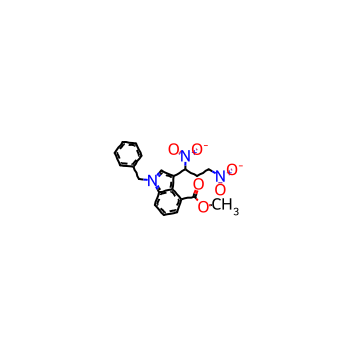 COC(=O)c1cccc2c1c(C(CC[N+](=O)[O-])[N+](=O)[O-])cn2Cc1ccccc1